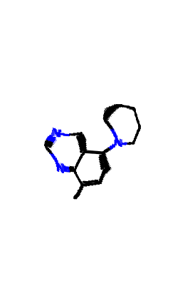 Cc1ccc(N2CCCCC2)c2cncnc12